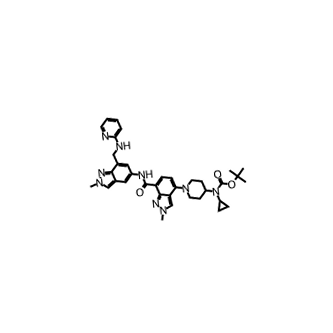 Cn1cc2cc(NC(=O)c3ccc(N4CCC(N(C(=O)OC(C)(C)C)C5CC5)CC4)c4cn(C)nc34)cc(CNc3ccccn3)c2n1